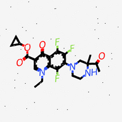 CCn1cc(C(=O)OC2CC2)c(=O)c2c(F)c(F)c(N3CCNC(C)(C(C)=O)C3)c(F)c21